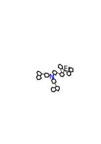 CCC1(c2cccc3ccccc23)c2ccccc2-c2c(-c3cccc(N(c4ccc(-c5cccc6ccccc56)cc4)c4ccc(-c5cccc6ccccc56)cc4)c3)cccc21